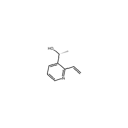 C=Cc1ncccc1[C@@H](C)O